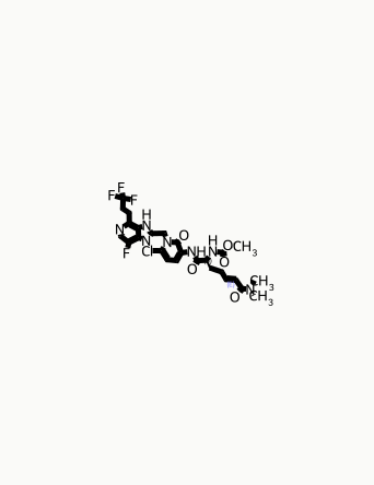 COC(=O)N[C@@H](CC/C=C/C(=O)N(C)C)C(=O)Nc1ccc(Cl)n(Cc2nc3c(F)cnc(CCC(F)(F)F)c3[nH]2)c1=O